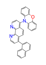 c1ccc2c(c1)Oc1ccccc1N2c1ccnc2c1ccc1c(-c3cccc4ccccc34)ccnc12